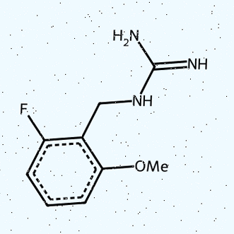 COc1cccc(F)c1CNC(=N)N